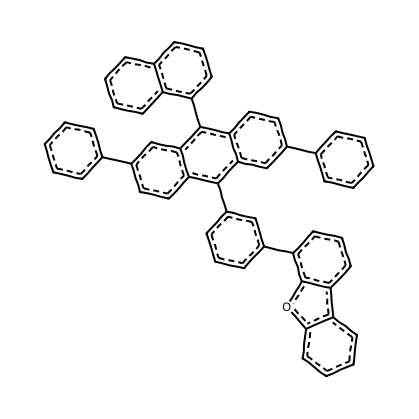 c1ccc(-c2ccc3c(-c4cccc5ccccc45)c4cc(-c5ccccc5)ccc4c(-c4cccc(-c5cccc6c5oc5ccccc56)c4)c3c2)cc1